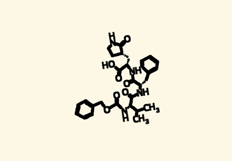 CC(C)[C@H](NC(=O)OCc1ccccc1)C(=O)N[C@@H](Cc1ccccc1)C(=O)N[C@@H](C[C@@H]1CCNC1=O)C(=O)O